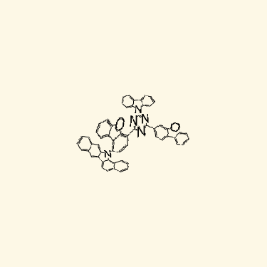 c1ccc2cc3c(cc2c1)c1ccc2ccccc2c1n3-c1ccc(-c2nc(-c3ccc4c(c3)oc3ccccc34)nc(-n3c4ccccc4c4ccccc43)n2)c2oc3ccccc3c12